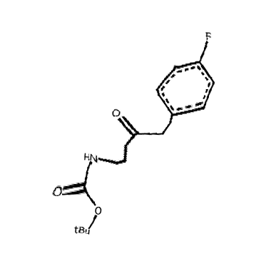 CC(C)(C)OC(=O)NCC(=O)Cc1ccc(F)cc1